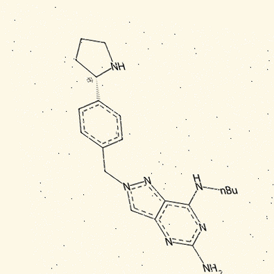 CCCCNc1nc(N)nc2cn(Cc3ccc([C@@H]4CCCN4)cc3)nc12